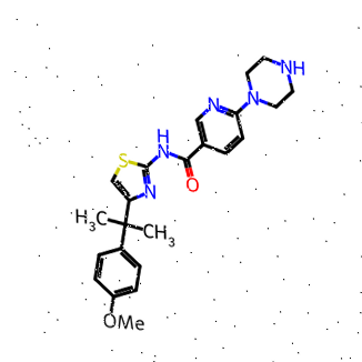 COc1ccc(C(C)(C)c2csc(NC(=O)c3ccc(N4CCNCC4)nc3)n2)cc1